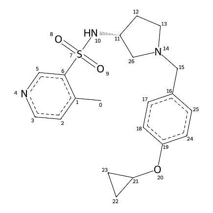 Cc1ccncc1S(=O)(=O)N[C@@H]1CCN(Cc2ccc(OC3CC3)cc2)C1